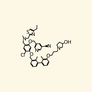 CCc1csc(CN(C)Cc2cc(Cl)c(OCc3cccc(-c4cccc(OCCCN5CCC(O)C5)c4C)c3C)cc2OCc2cncc(C#N)c2)n1